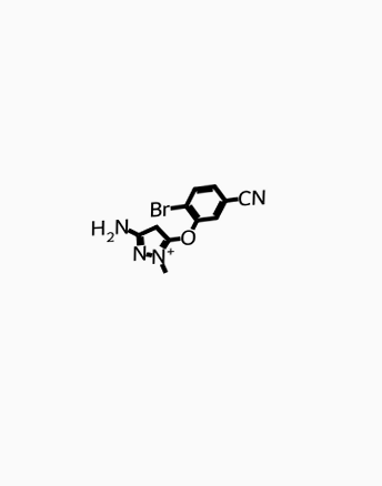 C[N+]1=C(Oc2cc(C#N)ccc2Br)CC(N)=N1